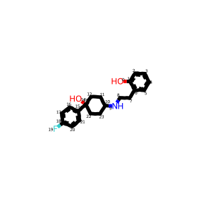 Oc1ccccc1CCNC1CCC(O)(c2ccc(F)cc2)CC1